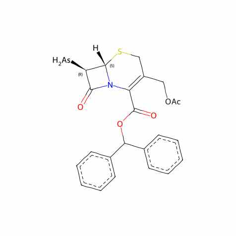 CC(=O)OCC1=C(C(=O)OC(c2ccccc2)c2ccccc2)N2C(=O)[C@@H]([AsH2])[C@@H]2SC1